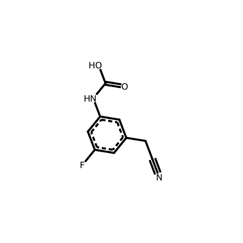 N#CCc1cc(F)cc(NC(=O)O)c1